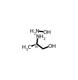 C[C@@H](N)CO.NO